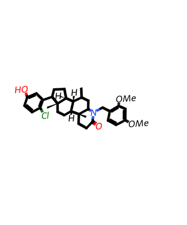 COc1ccc(CN2C(=O)CC[C@@]3(C)C2CC(C)[C@@H]2[C@H]3CC[C@]3(C)C(c4cc(O)ccc4Cl)CC[C@@H]23)c(OC)c1